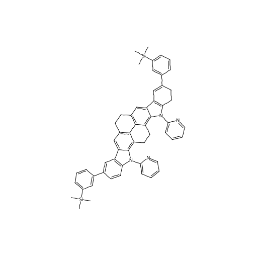 C[Si](C)(C)c1cccc(C2=Cc3c(n(-c4ccccn4)c4c5c6c(cc34)CCc3cc4c7cc(-c8cccc([Si](C)(C)C)c8)ccc7n(-c7ccccn7)c4c(c3-6)CC5)CC2)c1